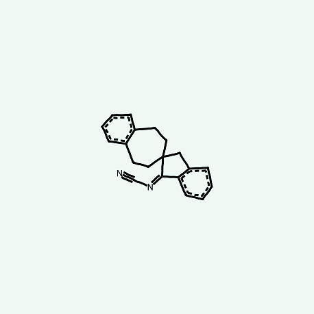 N#C/N=C1/c2ccccc2CC12CCc1ccccc1CC2